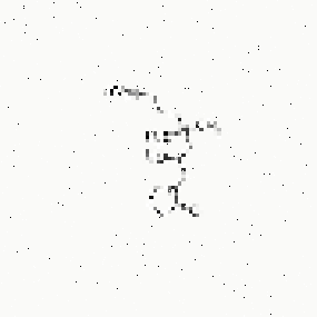 CCCCCCCCCCCC[N+](C)(C)CC(O)CN1CCCC1=O